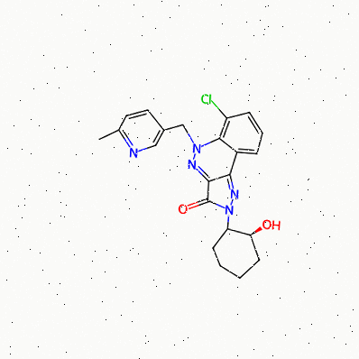 Cc1ccc(Cn2nc3c(=O)n(C4CCCC[C@@H]4O)nc-3c3cccc(Cl)c32)cn1